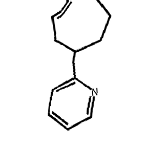 C1=CCC(c2ccccn2)CCC1